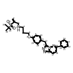 C=C(CNCCCOc1ccc(Cc2nnc3ccc(-c4ccccc4)nn23)cc1)S(=O)(=O)C(C)(C)C